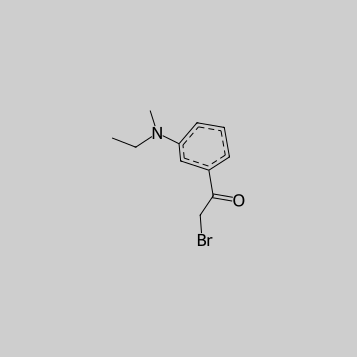 CCN(C)c1cccc(C(=O)CBr)c1